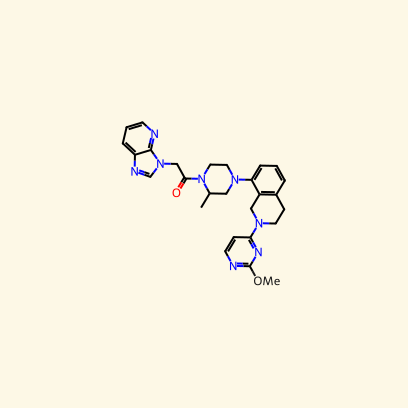 COc1nccc(N2CCc3cccc(N4CCN(C(=O)Cn5cnc6cccnc65)C(C)C4)c3C2)n1